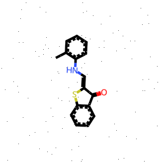 Cc1ccccc1NC=C1Sc2ccccc2C1=O